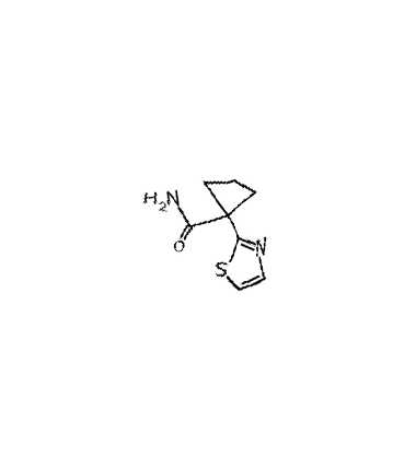 NC(=O)C1(c2nccs2)CCC1